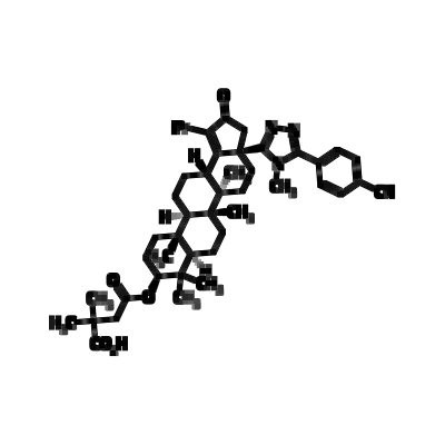 CC(C)C1=C2[C@H]3CC[C@@H]4[C@@]5(C)CC[C@H](OC(=O)CC(C)(C)C(=O)O)C(C)(C)[C@@H]5CC[C@@]4(C)[C@]3(C)CC[C@@]2(c2nnc(-c3ccc(C#N)cc3)n2C)CC1=O